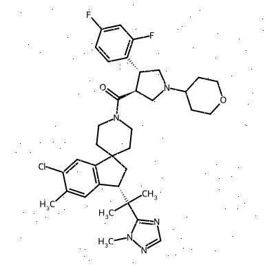 Cc1cc2c(cc1Cl)C1(CCN(C(=O)[C@@H]3CN(C4CCOCC4)C[C@H]3c3ccc(F)cc3F)CC1)C[C@@H]2C(C)(C)c1ncnn1C